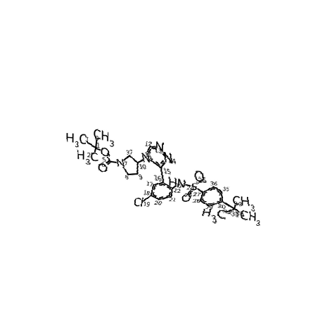 CC(C)(C)OC(=O)N1CCC(n2cnnc2-c2cc(Cl)ccc2NS(=O)(=O)c2ccc(C(C)(C)C)cc2)C1